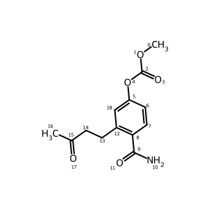 COC(=O)Oc1ccc(C(N)=O)c(CCC(C)=O)c1